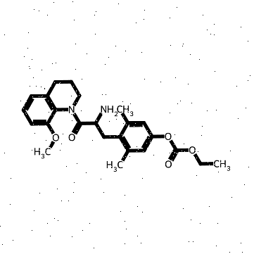 CCOC(=O)Oc1cc(C)c(CC(N)C(=O)N2CCCc3cccc(OC)c32)c(C)c1